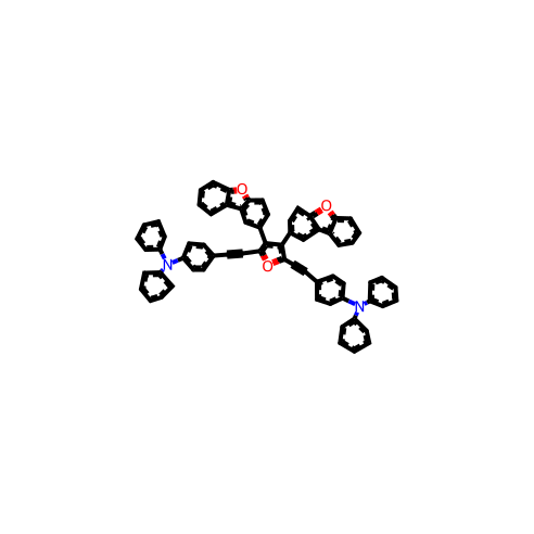 C(#Cc1oc(C#Cc2ccc(N(c3ccccc3)c3ccccc3)cc2)c(-c2ccc3oc4ccccc4c3c2)c1-c1ccc2oc3ccccc3c2c1)c1ccc(N(c2ccccc2)c2ccccc2)cc1